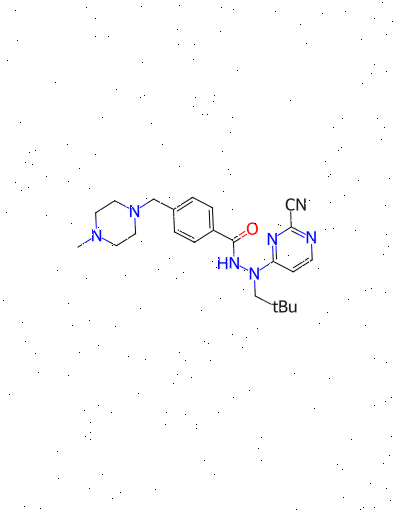 CN1CCN(Cc2ccc(C(=O)NN(CC(C)(C)C)c3ccnc(C#N)n3)cc2)CC1